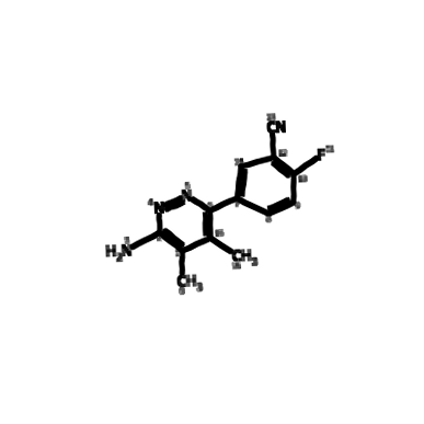 Cc1c(N)nnc(-c2ccc(F)c(C#N)c2)c1C